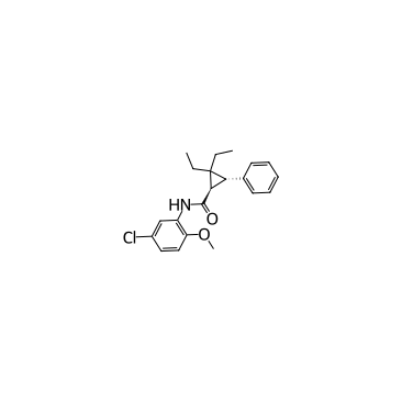 CCC1(CC)[C@H](C(=O)Nc2cc(Cl)ccc2OC)[C@H]1c1ccccc1